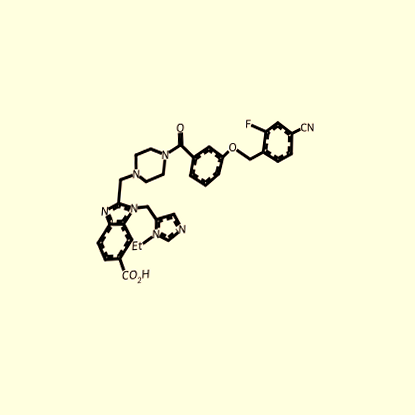 CCn1cncc1Cn1c(CN2CCN(C(=O)c3cccc(OCc4ccc(C#N)cc4F)c3)CC2)nc2ccc(C(=O)O)cc21